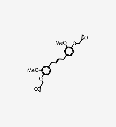 COc1cc(CC=CCc2ccc(OCC3CO3)c(OC)c2)ccc1OCC1CO1